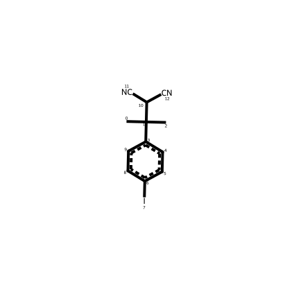 CC(C)(c1ccc(I)cc1)C(C#N)C#N